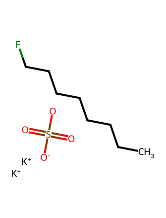 CCCCCCCCF.O=S(=O)([O-])[O-].[K+].[K+]